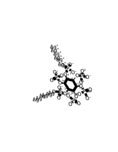 O=P([O-])([O-])O[C@H]1[C@H](OP(=O)([O-])[O-])[C@@H](OP(=O)([O-])[O-])[C@H](OP(=O)([O-])[O-])[C@@H](OP(=O)([O-])[O-])[C@H]1OP(=O)([O-])[O-].[Ag+].[Ag+].[Ag+].[Ag+].[Ag+].[Ag+].[Ag+].[Ag+].[Ag+].[Ag+].[Ag+].[Ag+]